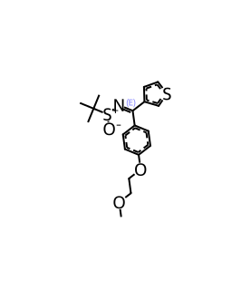 COCCOc1ccc(/C(=N\[S+]([O-])C(C)(C)C)c2ccsc2)cc1